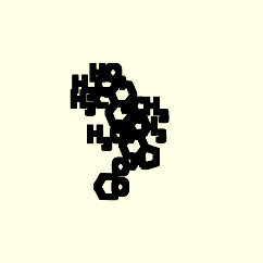 CC1(C)C2CC[C@]3(C)C(CCC4C5CCC[C@]5(COC5CCCCO5)CC[C@]43C)[C@@]2(C)CC[C@@H]1O